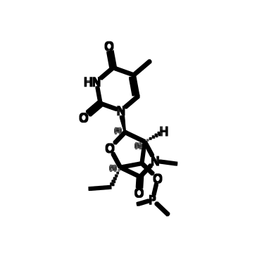 CC[C@]12O[C@@H](n3cc(C)c(=O)[nH]c3=O)[C@H](C1OP(C)C)N(C)C2=O